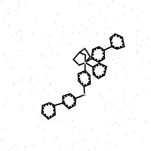 c1ccc(-c2ccc(Sc3ccc(S45(c6ccccc6)(c6ccc(-c7ccccc7)cc6)CCC(CC4)C5)cc3)cc2)cc1